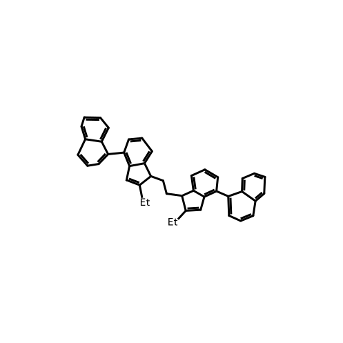 CCC1=Cc2c(-c3cccc4ccccc34)cccc2C1CCC1C(CC)=Cc2c(-c3cccc4ccccc34)cccc21